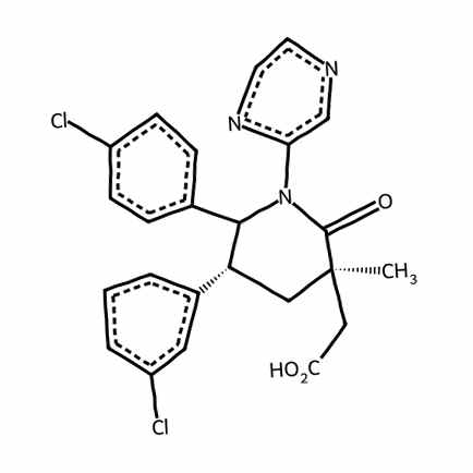 C[C@]1(CC(=O)O)C[C@H](c2cccc(Cl)c2)C(c2ccc(Cl)cc2)N(c2cnccn2)C1=O